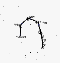 CCCCCCC(O)C/C=C/CCCCCCCC(=O)OC(C/C=C/CCCCCCCC(=O)OC(C/C=C/CCCCCCCC(=O)OC(C/C=C/CCCCCCCC(=O)OCC(O)COCC(O)COCC(O)CO)CCCCCC)CCCCCC)CCCCCC